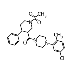 Cc1ccc(Cl)cc1N1CCN(C(=O)C2CN(S(C)(=O)=O)CCC2c2ccccc2)CC1